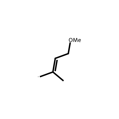 [CH2]C(C)=CCOC